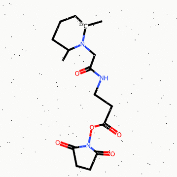 CC1CCC[13CH](C)N1CC(=O)NCCC(=O)ON1C(=O)CCC1=O